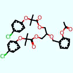 CC(=O)Oc1ccccc1COC(COC(=O)C(C)(C)Oc1ccc(Cl)cc1)COC(=O)C(C)(C)Oc1ccc(Cl)cc1